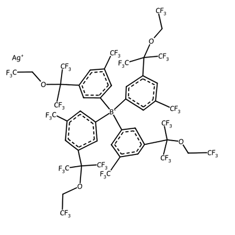 FC(F)(F)COC(c1cc([B-](c2cc(C(F)(F)F)cc(C(OCC(F)(F)F)(C(F)(F)F)C(F)(F)F)c2)(c2cc(C(F)(F)F)cc(C(OCC(F)(F)F)(C(F)(F)F)C(F)(F)F)c2)c2cc(C(F)(F)F)cc(C(OCC(F)(F)F)(C(F)(F)F)C(F)(F)F)c2)cc(C(F)(F)F)c1)(C(F)(F)F)C(F)(F)F.[Ag+]